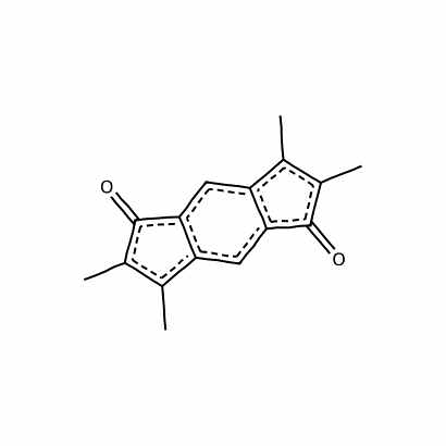 Cc1c(C)c2cc3c(=O)c(C)c(C)c3cc2c1=O